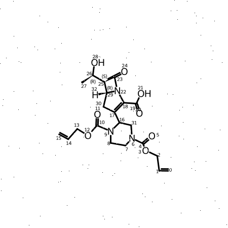 C=CCOC(=O)N1CCN(C(=O)OCC=C)C(C2=C(C(=O)O)N3C(=O)[C@H]([C@@H](C)O)[C@H]3C2)C1